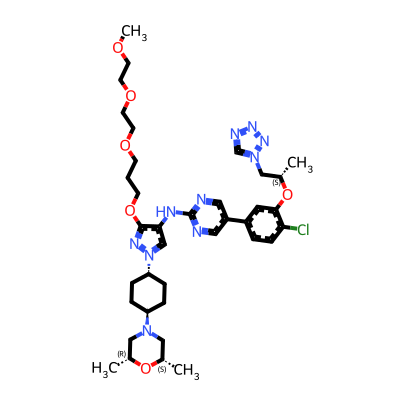 COCCOCCOCCCOc1nn([C@H]2CC[C@H](N3C[C@@H](C)O[C@@H](C)C3)CC2)cc1Nc1ncc(-c2ccc(Cl)c(O[C@@H](C)Cn3cnnn3)c2)cn1